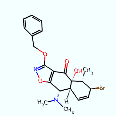 C[C@@H]1[C@@H](Br)C=C[C@H]2[C@H](N(C)C)c3onc(OCc4ccccc4)c3C(=O)[C@@]12O